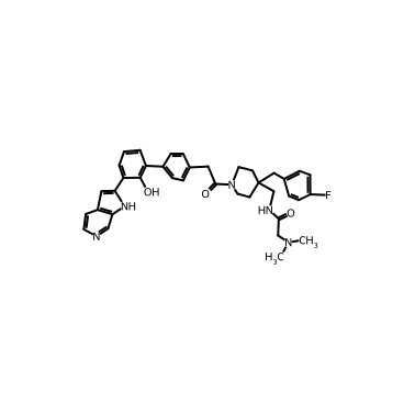 CN(C)CC(=O)NCC1(Cc2ccc(F)cc2)CCN(C(=O)Cc2ccc(-c3cccc(-c4cc5ccncc5[nH]4)c3O)cc2)CC1